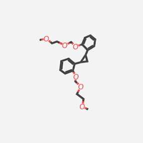 COCCOCOc1ccccc1C1CC1c1ccccc1OCOCCOC